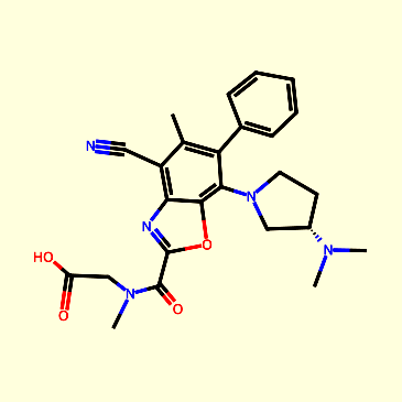 Cc1c(-c2ccccc2)c(N2CC[C@H](N(C)C)C2)c2oc(C(=O)N(C)CC(=O)O)nc2c1C#N